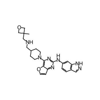 CC1(CNCC2CCN(c3nc(Nc4ccc5cn[nH]c5c4)nc4ccoc34)CC2)COC1